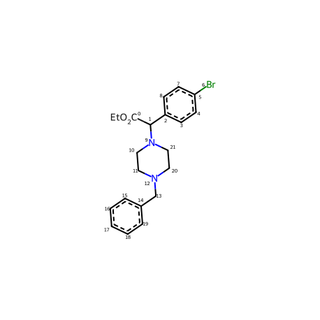 CCOC(=O)C(c1ccc(Br)cc1)N1CCN(Cc2ccccc2)CC1